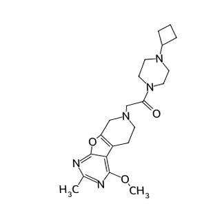 COc1nc(C)nc2oc3c(c12)CCN(CC(=O)N1CCN(C2CCC2)CC1)C3